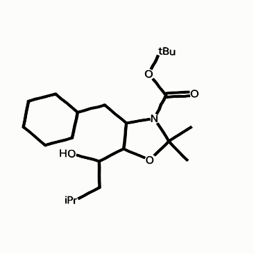 CC(C)CC(O)C1OC(C)(C)N(C(=O)OC(C)(C)C)C1CC1CCCCC1